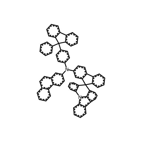 c1ccc(C2(c3ccc(N(c4ccc5c(c4)C4(c6ccccc6-5)c5ccccc5-n5c6ccccc6c6cccc4c65)c4ccc5c(ccc6ccccc65)c4)cc3)c3ccccc3-c3ccccc32)cc1